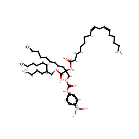 CCCCC/C=C\C/C=C\CCCCCCCC(=O)OC(CCCCCCCCC)(COC(=O)Oc1ccc([N+](=O)[O-])cc1)C(=O)OCC(CCCC)CCCCCC